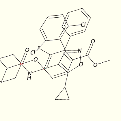 COC(=O)c1ccc(NC(=O)C2C3CC(OCc4c(-c5c(Cl)cccc5Cl)noc4C4CC4)CC2C3)c(F)c1-c1ccccc1